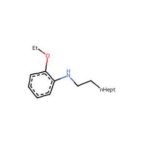 CCCCCCCCCNc1ccccc1OCC